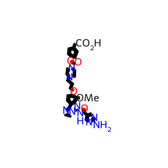 COc1c(OCCCN2CCN(C(=O)Oc3ccc(CC(=O)O)cc3)CC2)ccc2c1N=C(NC(=O)c1cnc(N)nc1)N1CCN=C21